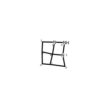 C1C2CN3NN4CC1C234